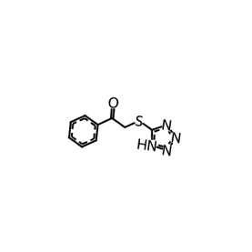 O=C(CSc1nnn[nH]1)c1ccccc1